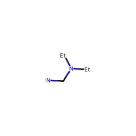 CCN(CC)C[N]